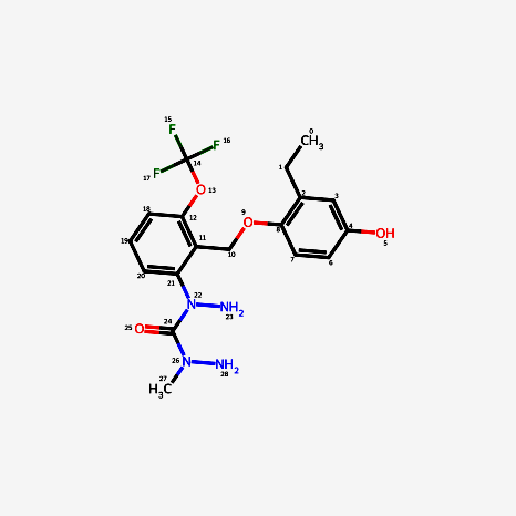 CCc1cc(O)ccc1OCc1c(OC(F)(F)F)cccc1N(N)C(=O)N(C)N